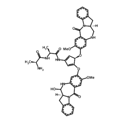 COc1cc2c(cc1OC1=CC(NC(=O)[C@H](C)NC(=O)[C@H](C)N)=C[C@H]1Oc1cc3c(cc1OC)C(=O)N1c4ccccc4C[C@H]1CN3)NC(O)[C@@H]1Cc3ccccc3N1C2=O